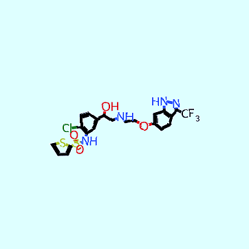 O=S(=O)(Nc1cc(C(O)CNCCOc2ccc3c(C(F)(F)F)n[nH]c3c2)ccc1Cl)c1cccs1